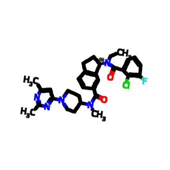 CCN(C(=O)c1cccc(F)c1Cl)[C@@H]1CCc2ccc(C(=O)N(C)C3CCN(c4cc(C)nc(C)n4)CC3)cc21